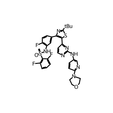 C=S(=O)(Nc1cc(-c2nc(C(C)(C)C)sc2-c2ccnc(Nc3ccc(N4CCOCC4)nc3)n2)ccc1F)c1c(F)cccc1F